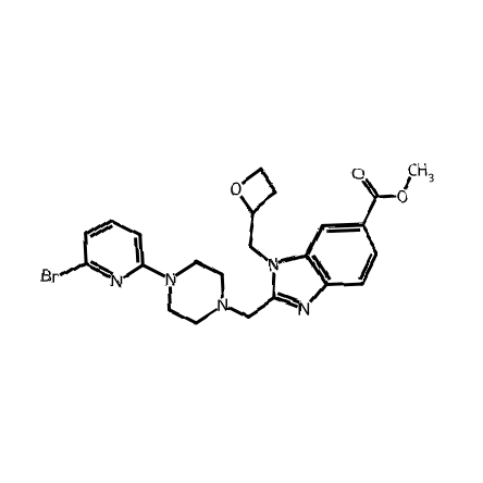 COC(=O)c1ccc2nc(CN3CCN(c4cccc(Br)n4)CC3)n(CC3CCO3)c2c1